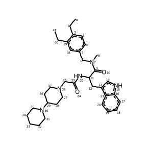 CCc1ccc(CN(C)C(=O)C(Cc2c[nH]c3ccccc23)NC(=O)CN2CCC(N3CCCCC3)CC2)cc1CC